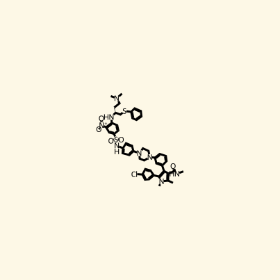 CNC(=O)c1c(-c2cccc(N3CCN(c4ccc(NS(=O)(=O)c5ccc(N[C@H](CCN(C)C)CSc6ccccc6)c([N+](=O)[O-])c5)cc4)CC3)c2)c(-c2ccc(Cl)cc2)n(C)c1C